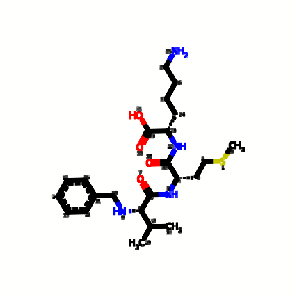 CSCC[C@H](NC(=O)[C@@H](NCc1ccccc1)C(C)C)C(=O)N[C@@H](CCCCN)C(=O)O